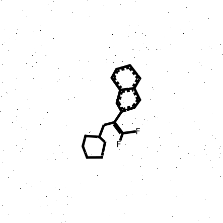 FC(F)=C(CC1CCCCC1)c1ccc2ccccc2c1